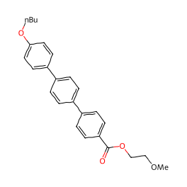 CCCCOc1ccc(-c2ccc(-c3ccc(C(=O)OCCOC)cc3)cc2)cc1